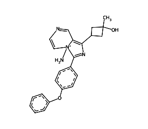 CC1(O)CC(C2=C3C=NC=C[N+]3(N)C(c3ccc(Oc4ccccc4)cc3)=N2)C1